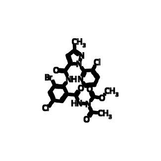 COC(=O)N(NC(=O)c1cc(Cl)cc(Br)c1NC(=O)c1cc(C)nn1-c1ncccc1Cl)C(C)=O